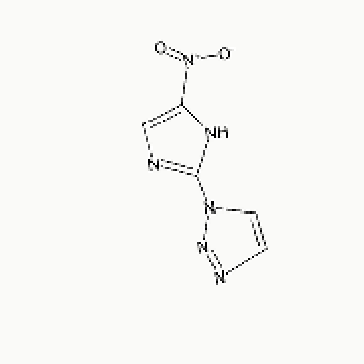 O=[N+]([O-])c1cnc(-n2ccnn2)[nH]1